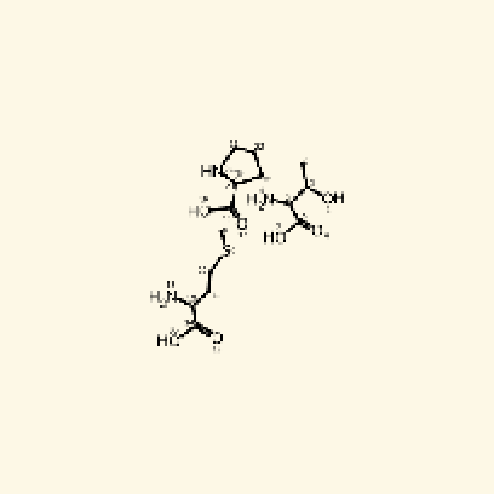 CC(O)C(N)C(=O)O.CSCCC(N)C(=O)O.O=C(O)[C@@H]1CCCN1